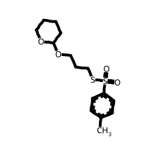 Cc1ccc(S(=O)(=O)SCCCOC2CCCCO2)cc1